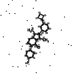 Cc1c2cnn(-c3ccc(F)cn3)c(=O)c2c(C)n1-c1cccc(N2CCC2)c1